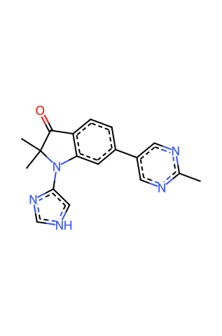 Cc1ncc(-c2ccc3c(c2)N(c2c[nH]cn2)C(C)(C)C3=O)cn1